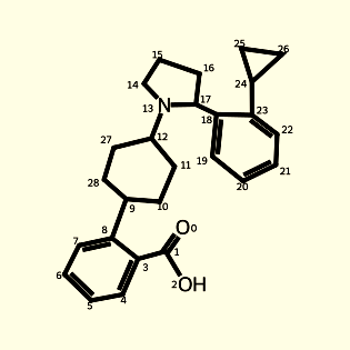 O=C(O)c1ccccc1C1CCC(N2CCCC2c2ccccc2C2CC2)CC1